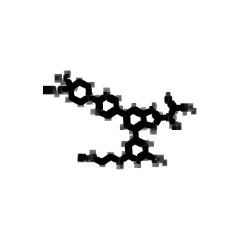 CCN(C(N)=O)c1nc2cc(-c3cnc(N4CCC(C)(C(=O)O)CC4)nc3)cc(-c3cc(OCCOC)nc(C)n3)c2s1